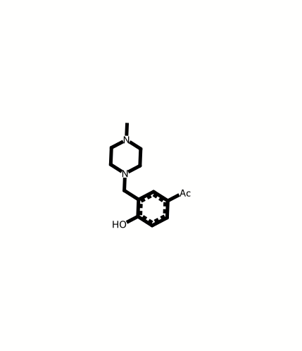 CC(=O)c1ccc(O)c(CN2CCN(C)CC2)c1